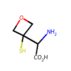 NC(C(=O)O)C1(S)COC1